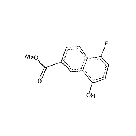 COC(=O)c1ccc2c(F)ccc(O)c2c1